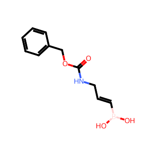 O=C(NC/C=C/B(O)O)OCc1ccccc1